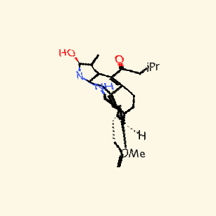 C=CC[C@H]1CNN2C3CC4=C5CC=C(OC)[C@@H]1C5CCC4=C(C(=O)CC(C)C)C3C(C)[C@@H]2O